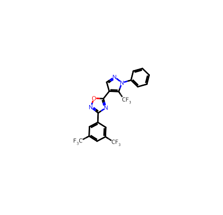 FC(F)(F)c1cc(-c2noc(-c3cnn(-c4ccccc4)c3C(F)(F)F)n2)cc(C(F)(F)F)c1